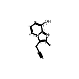 C#CCc1c(C)nc2c(O)cccn12